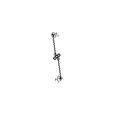 COC(=O)CCCCCCCCCCCCCCOc1c2ccccc2c(OCCCCCCCCCCCCCCC(=O)OC)c2ccccc12